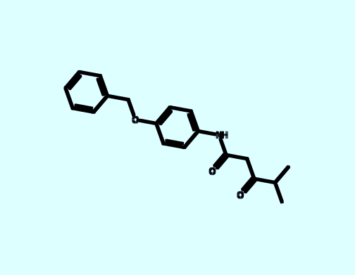 CC(C)C(=O)CC(=O)Nc1ccc(OCc2ccccc2)cc1